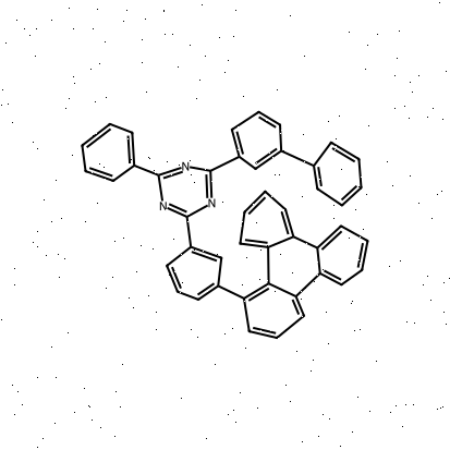 c1ccc(-c2cccc(-c3nc(-c4ccccc4)nc(-c4cccc(-c5cccc6c7ccccc7c7ccccc7c56)c4)n3)c2)cc1